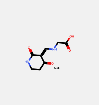 O=C(O)CNC=C1C(=O)CCNC1=O.[NaH]